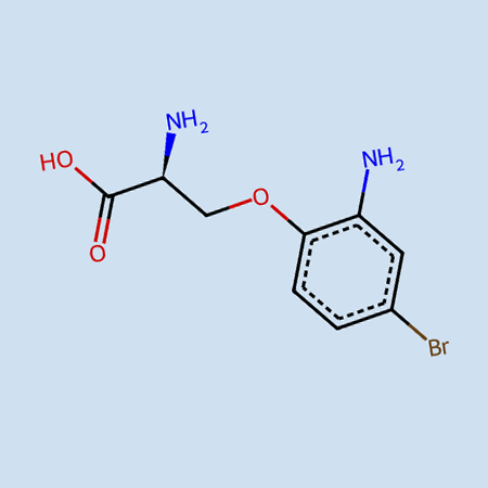 Nc1cc(Br)ccc1OC[C@H](N)C(=O)O